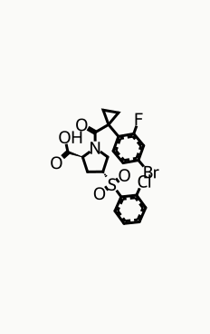 O=C(O)[C@@H]1C[C@@H](S(=O)(=O)c2ccccc2Cl)CN1C(=O)C1(c2ccc(Br)cc2F)CC1